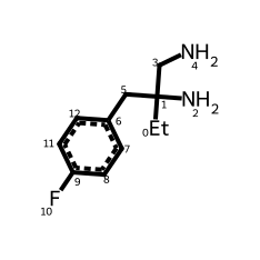 CCC(N)(CN)Cc1ccc(F)cc1